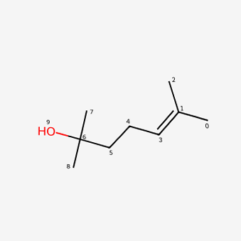 CC(C)=CCCC(C)(C)O